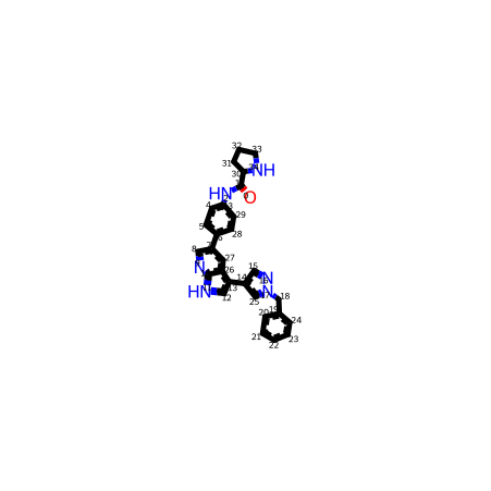 O=C(Nc1ccc(-c2cnc3[nH]cc(-c4cnn(Cc5ccccc5)c4)c3c2)cc1)C1CCCN1